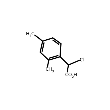 Cc1ccc(C(Cl)C(=O)O)c(C)c1